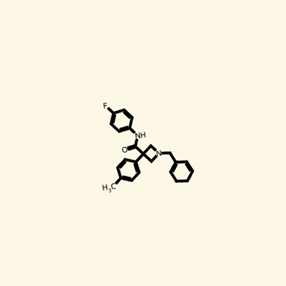 Cc1ccc(C2(C(=O)Nc3ccc(F)cc3)CN(CC3=CCCC=C3)C2)cc1